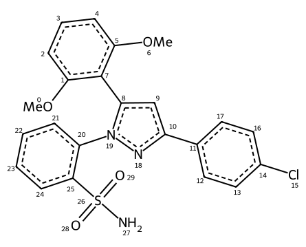 COc1cccc(OC)c1-c1cc(-c2ccc(Cl)cc2)nn1-c1ccccc1S(N)(=O)=O